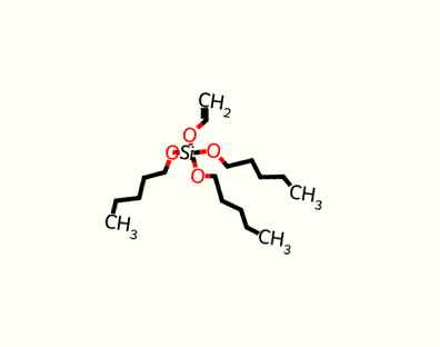 C=CO[Si](OCCCCC)(OCCCCC)OCCCCC